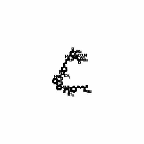 Cn1c(C(=O)Nc2cccc(-c3cccc(NC(=O)c4nc5c(n4C)CCN(CCCC(=O)OC(C)(C)C)C5)c3Cl)c2Cl)nc2c1CCN(CCCC(=O)NC(CC(=O)OC(C)(C)C)C(=O)NC(CC(=O)OC(C)(C)C)C(=O)O)C2